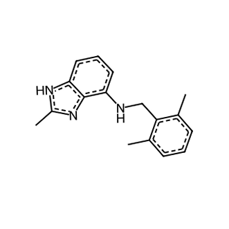 Cc1nc2c(NCc3c(C)cccc3C)cccc2[nH]1